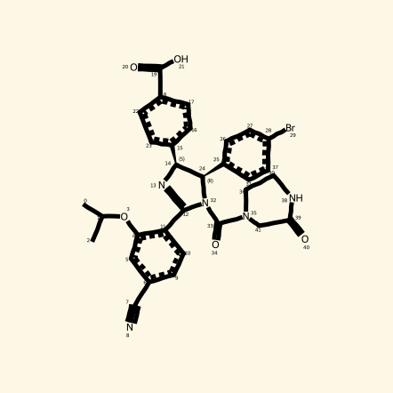 CC(C)Oc1cc(C#N)ccc1C1=N[C@@H](c2ccc(C(=O)O)cc2)[C@@H](c2ccc(Br)cc2)N1C(=O)N1CCNC(=O)C1